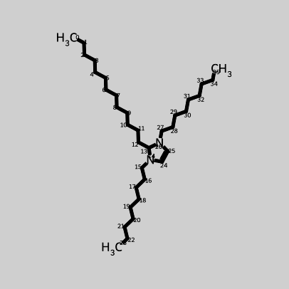 CCCCCCCCCCCCCC1N(CCCCCCCCC)C=CN1CCCCCCCCC